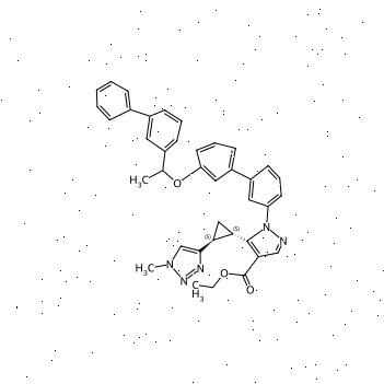 CCOC(=O)c1cnn(-c2cccc(-c3cccc(OC(C)c4cccc(-c5ccccc5)c4)c3)c2)c1[C@H]1C[C@@H]1c1cn(C)nn1